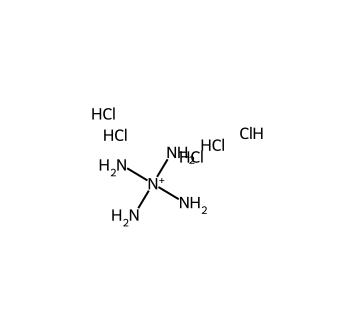 Cl.Cl.Cl.Cl.Cl.N[N+](N)(N)N